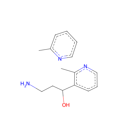 Cc1ccccn1.Cc1ncccc1C(O)CCN